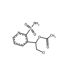 CC(=O)OC(CCl)c1cccnc1S(N)(=O)=O